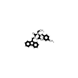 CCN(C(=O)OCC1c2ccccc2-c2ccccc21)[C@@H](Cc1ccc(C)cc1)C(=O)O